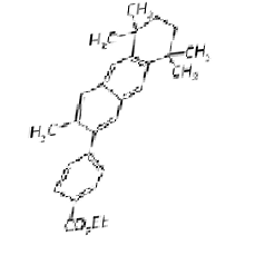 CCOC(=O)c1ccc(-c2cc3cc4c(cc3cc2C)C(C)(C)CCC4(C)C)cc1